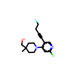 CC1(CO)CCN(c2cc(Cl)ncc2C#CCCF)CC1